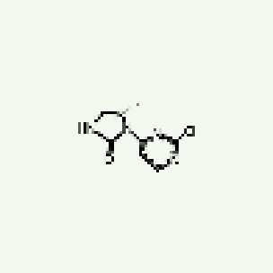 C[C@H]1CNC(=O)N1c1ccnc(Cl)n1